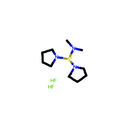 CN(C)[S+](N1CCCC1)N1CCCC1.F.F